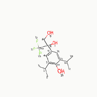 CC(C)c1cc([C@@](O)(CO)C(F)(F)F)cc(C(C)C)c1O